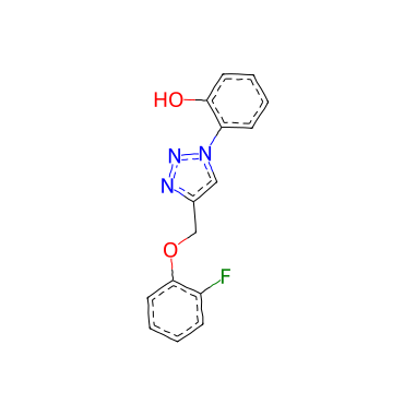 Oc1ccccc1-n1cc(COc2ccccc2F)nn1